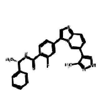 Cc1n[nH]cc1-c1ccc2ncc(-c3ccc(C(=O)N[C@@H](C)c4ccccc4)c(F)c3)n2c1